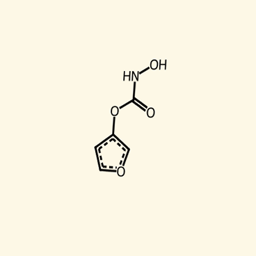 O=C(NO)Oc1ccoc1